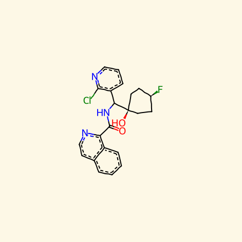 O=C(NC(c1cccnc1Cl)[C@]1(O)CC[C@@H](F)CC1)c1nccc2ccccc12